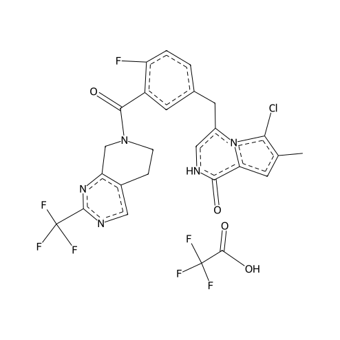 Cc1cc2c(=O)[nH]cc(Cc3ccc(F)c(C(=O)N4CCc5cnc(C(F)(F)F)nc5C4)c3)n2c1Cl.O=C(O)C(F)(F)F